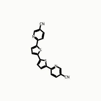 N#Cc1ccc(-c2ccc(-c3ccc(-c4ccc(C#N)cn4)s3)s2)nc1